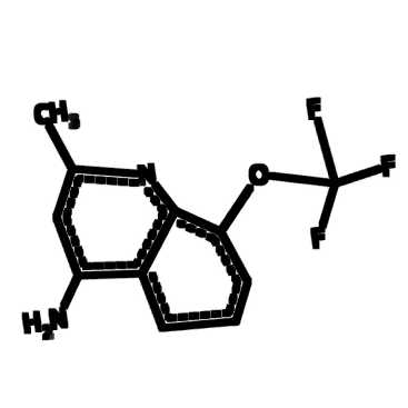 Cc1cc(N)c2cccc(OC(F)(F)F)c2n1